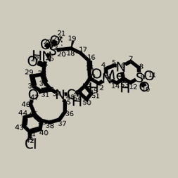 CO[C@]1(CN2CCN3CCS(=O)(=O)C[C@@H]3C2)/C=C/C[C@H](C)[C@@H](C)S(=O)(=O)NC(=O)c2ccc3c(c2)N(CCCCc2cc(Cl)ccc2CO3)C[C@@H]2CC[C@@H]21